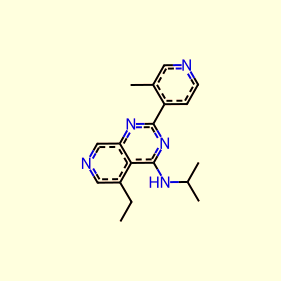 CCc1cncc2nc(-c3ccncc3C)nc(NC(C)C)c12